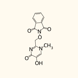 Cn1cc(O)c(=O)nc1CON1C(=O)c2ccccc2C1=O